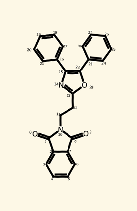 O=C1c2ccccc2C(=O)N1CCc1nc(-c2ccccc2)c(-c2ccccc2)o1